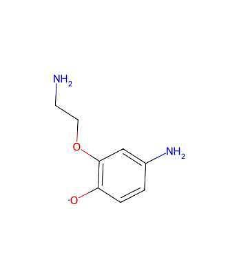 NCCOc1cc(N)ccc1[O]